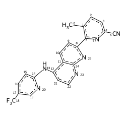 Cc1ccc(C#N)nc1-c1ccc2c(Nc3ccc(C(F)(F)F)cn3)ccnc2n1